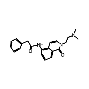 CN(C)CCn1ccc2c(NC(=O)Cc3ccccc3)cccc2c1=O